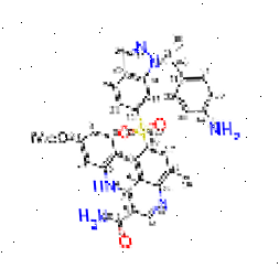 COc1cccc(Nc2c(C(N)=O)cnc3c(C)cc(S(=O)(=O)c4ccc5cnn([C@H](C)c6ccc(N)cc6)c5c4)cc23)c1